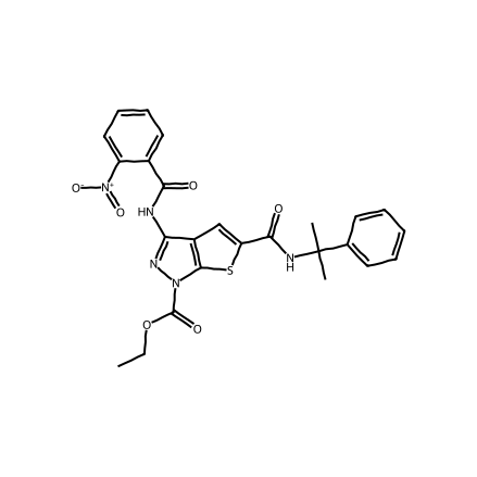 CCOC(=O)n1nc(NC(=O)c2ccccc2[N+](=O)[O-])c2cc(C(=O)NC(C)(C)c3ccccc3)sc21